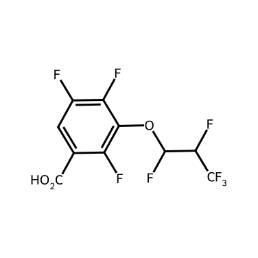 O=C(O)c1cc(F)c(F)c(OC(F)C(F)C(F)(F)F)c1F